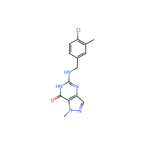 Cc1cc(CNc2nc3cnn(C)c3c(=O)[nH]2)ccc1Cl